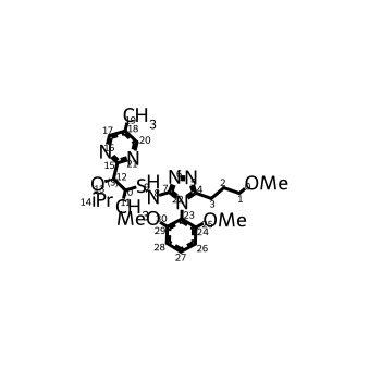 COCCCc1nnc(NSC(C)[C@@H](OC(C)C)c2ncc(C)cn2)n1-c1c(OC)cccc1OC